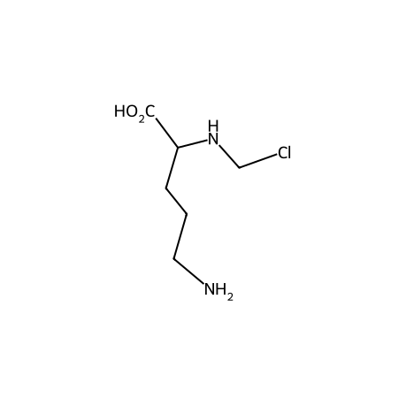 NCCCC(NCCl)C(=O)O